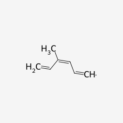 [CH]=CC=C(C)C=C